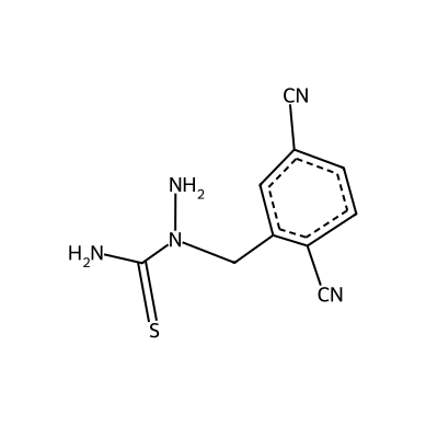 N#Cc1ccc(C#N)c(CN(N)C(N)=S)c1